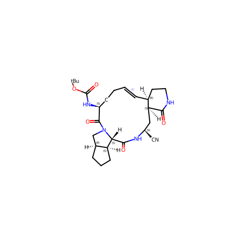 CC(C)(C)OC(=O)N[C@H]1CC/C=C/[C@H]2CCNC(=O)[C@H]2C[C@@H](C#N)NC(=O)[C@@H]2[C@H]3CCC[C@H]3CN2C1=O